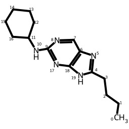 CCCCc1nc2cnc(NC3CCCCC3)nc2[nH]1